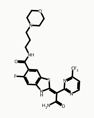 NC(=O)/C(=C1\Nc2cc(F)c(C(=O)NCCCN3CCOCC3)cc2S1)c1nccc(C(F)(F)F)n1